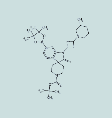 C[C@@H]1CCCN(C2CC(N3C(=O)C4(CCN(C(=O)OC(C)(C)C)CC4)c4ccc(B5OC(C)(C)C(C)(C)O5)cc43)C2)C1